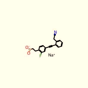 N#CCc1ccccc1C#Cc1ccc(CCS(=O)[O-])c(F)c1.[Na+]